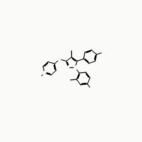 Cc1c(Nc2cc[n+]([O-])cc2)nn(-c2ccc(Cl)cc2Cl)c1-c1ccc(Cl)cc1